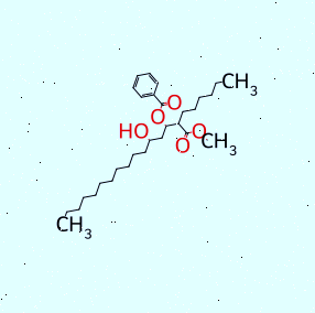 CCCCCCCCCCCC(O)CC(OC(=O)c1ccccc1)C(CCCCCC)C(=O)OC